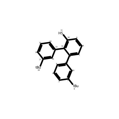 CC(C)(C)c1cccc(-c2cccc(S)c2-c2cccc(C(C)(C)C)c2)c1